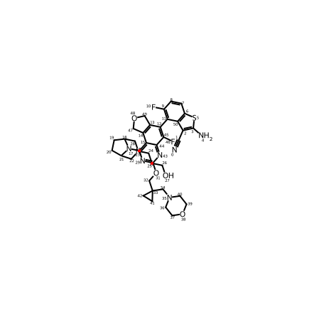 N#Cc1c(N)sc2ccc(F)c(-c3c4c(c5c(N6C7CCC6CN(CCCO)C7)nc(OCC6(CN7CCOCC7)CC6)nc5c3F)COC4)c12